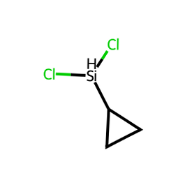 Cl[SiH](Cl)C1CC1